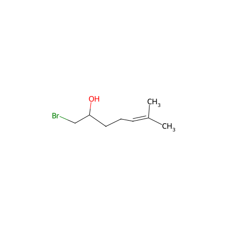 CC(C)=CCCC(O)CBr